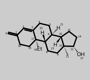 C=C1C=C2CC[C@@H]3[C@H](CC[C@]4(C)[C@@H](O)CC[C@@H]34)[C@@]2(CC)CC1